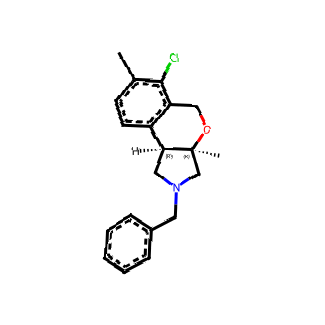 Cc1ccc2c(c1Cl)CO[C@@]1(C)CN(Cc3ccccc3)C[C@@H]21